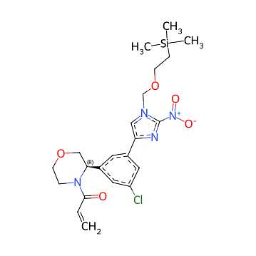 C=CC(=O)N1CCOC[C@H]1c1cc(Cl)cc(-c2cn(COCC[Si](C)(C)C)c([N+](=O)[O-])n2)c1